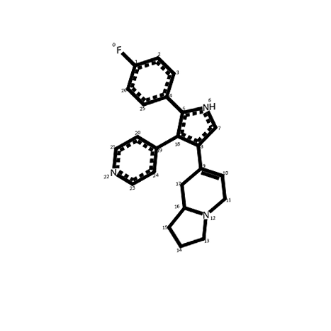 Fc1ccc(-c2[nH]cc(C3=CCN4CCCC4C3)c2-c2ccncc2)cc1